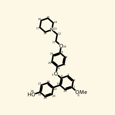 COc1ccc(Oc2ccc(OCCN3CCCCC3)cc2)c(-c2ccc(O)cc2)c1